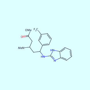 CNC(CC(=O)OC)CC(Nc1nc2ccccc2[nH]1)c1cccc(C(F)(F)F)c1